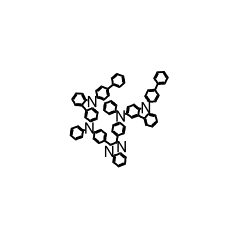 c1ccc(-c2ccc(-n3c4ccccc4c4cc(N(c5ccccc5)c5ccc(-c6nc7ccccc7nc6-c6ccc(N(c7ccccc7)c7ccc8c(c7)c7ccccc7n8-c7ccc(-c8ccccc8)cc7)cc6)cc5)ccc43)cc2)cc1